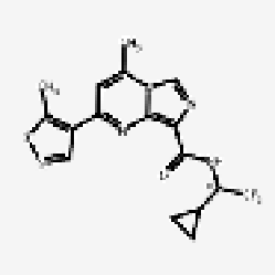 Cc1sncc1-c1cc(C)n2cnc(C(=O)N[C@H](C3CC3)C(F)(F)F)c2n1